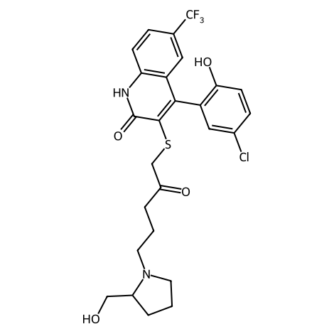 O=C(CCCN1CCCC1CO)CSc1c(-c2cc(Cl)ccc2O)c2cc(C(F)(F)F)ccc2[nH]c1=O